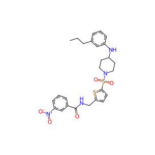 CCCc1cccc(NC2CCN(S(=O)(=O)c3ccc(CNC(=O)c4cccc([N+](=O)[O-])c4)s3)CC2)c1